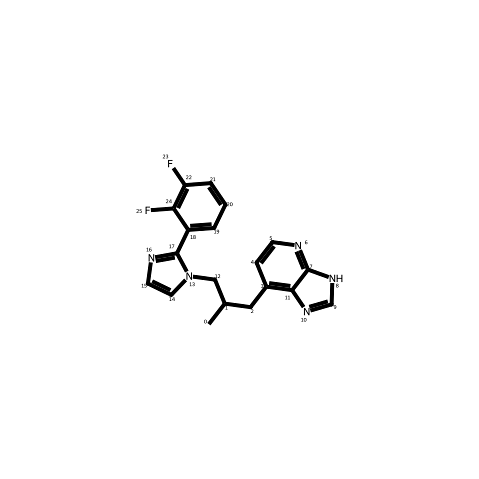 CC(Cc1ccnc2[nH]cnc12)Cn1ccnc1-c1cccc(F)c1F